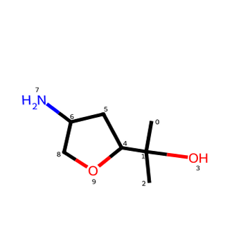 CC(C)(O)C1CC(N)CO1